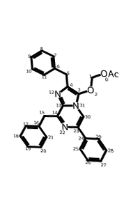 CC(=O)OCOc1c(Cc2ccccc2)nc2c(Cc3ccccc3)nc(-c3ccccc3)cn12